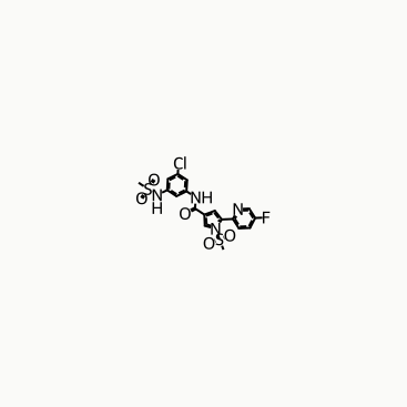 CS(=O)(=O)Nc1cc(Cl)cc(NC(=O)c2cc(-c3ccc(F)cn3)n(S(C)(=O)=O)c2)c1